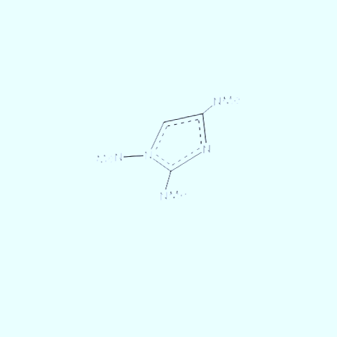 CNc1[c]n(NC)c(NC)n1